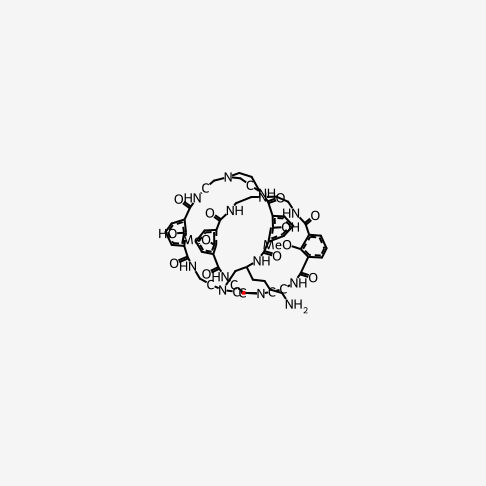 COc1c2cccc1C(=O)NCCN1CCNC(=O)c3cccc(c3OC)C(=O)NCCN(CCNC2=O)CCN2CCNC(=O)c3cccc(c3O)C(=O)NCCN(CC1)CC(CCCCN)NC(=O)c1cccc(c1O)C(=O)NCC2